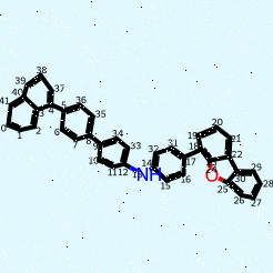 c1ccc2c(-c3ccc(-c4ccc(Nc5ccc(-c6cccc7c6oc6ccccc67)cc5)cc4)cc3)cccc2c1